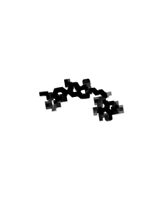 CCOc1ccc(-c2cc3ccn(CCC[C@H](C)Nc4cn[nH]c(=O)c4C(F)(F)F)c(=O)c3cc2F)nc1N